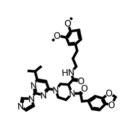 COc1ccc(CCCNC(=O)C2CN(c3cc(C(C)C)nc(-n4ccnc4)n3)CCN2C(=O)Cc2ccc3c(c2)OCO3)cc1OC